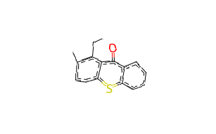 CCc1c(C)ccc2sc3ccccc3c(=O)c12